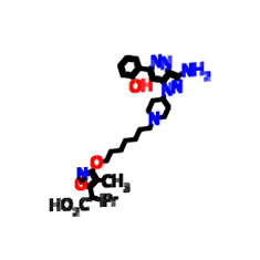 Cc1c(OCCCCCCCN2CCC(n3nc(N)c4nnc(-c5ccccc5O)cc43)CC2)noc1C(C(=O)O)C(C)C